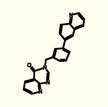 O=c1c2cccnc2ncn1Cc1cccc(-c2ccc3ncccc3c2)c1